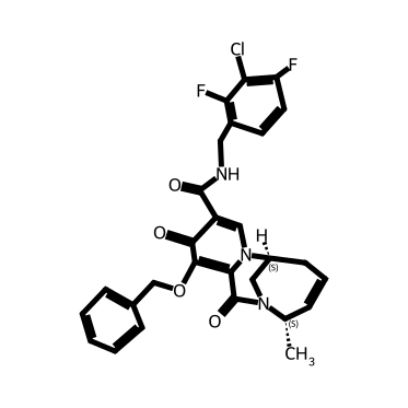 C[C@H]1C=CC[C@H]2CN1C(=O)c1c(OCc3ccccc3)c(=O)c(C(=O)NCc3ccc(F)c(Cl)c3F)cn12